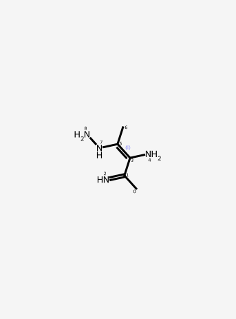 CC(=N)/C(N)=C(/C)NN